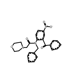 O=C(c1ccccc1)c1cc([N+](=O)[O-])ccc1N(Cc1ccccc1)C(=O)CN1CCOCC1